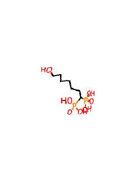 O=P(O)(O)C(CCCCCCO)P(=O)(O)O